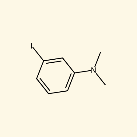 CN(C)c1cccc(I)c1